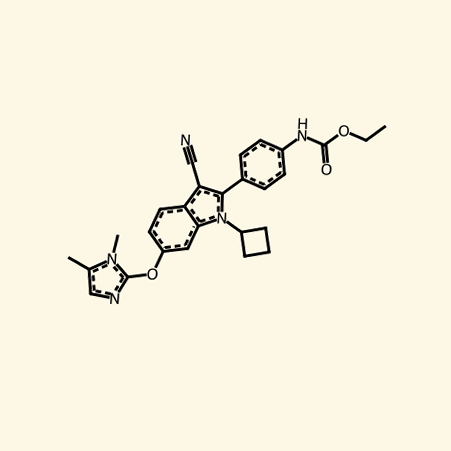 CCOC(=O)Nc1ccc(-c2c(C#N)c3ccc(Oc4ncc(C)n4C)cc3n2C2CCC2)cc1